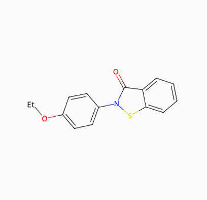 CCOc1ccc(-n2sc3ccccc3c2=O)cc1